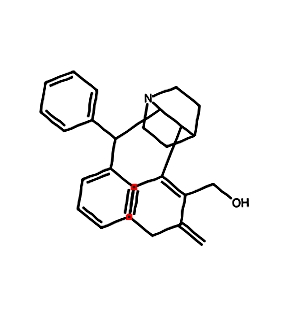 C=C1CC=CC(C2C3CCN(CC3)C2C(c2ccccc2)c2ccccc2)=C1CO